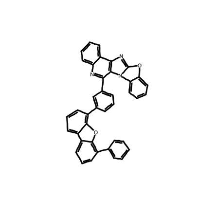 c1ccc(-c2cccc3c2oc2c(-c4cccc(-c5nc6ccccc6c6nc7oc8ccccc8n7c56)c4)cccc23)cc1